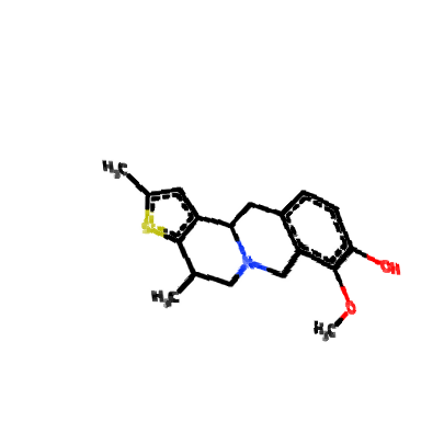 COc1c(O)ccc2c1CN1CC(C)c3sc(C)cc3C1C2